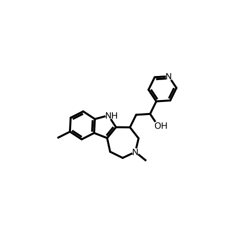 Cc1ccc2[nH]c3c(c2c1)CCN(C)CC3CC(O)c1ccncc1